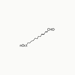 CCCCCCCCCCCCCCCC/C=C/C=C/[C]=O